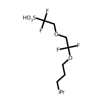 CC(C)CCCOC(F)(F)COCC(F)(F)S(=O)(=O)O